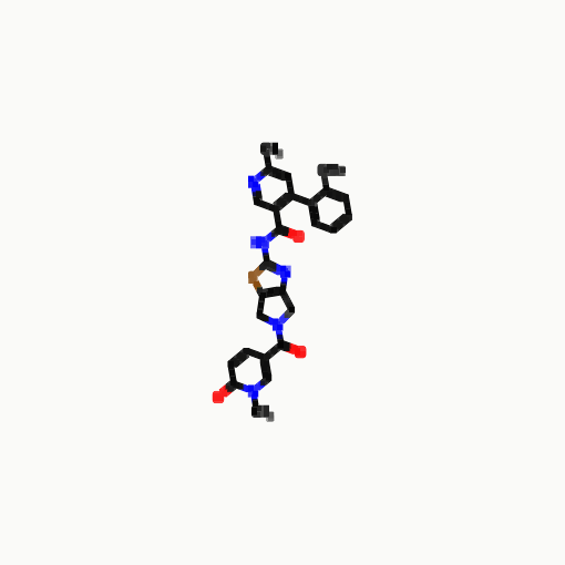 COc1ccccc1-c1cc(C)ncc1C(=O)Nc1nc2c(s1)CN(C(=O)c1ccc(=O)n(C)c1)C2